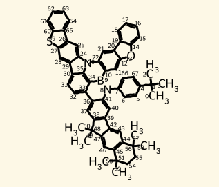 CC(C)(C)c1ccc(N2B3c4cc5oc6ccccc6c5cc4-n4c5cc6c(cc5c5ccc(c3c54)-c3cc4c(cc32)-c2cc3c(cc2C4(C)C)C(C)(C)CCC3(C)C)sc2ccccc26)cc1